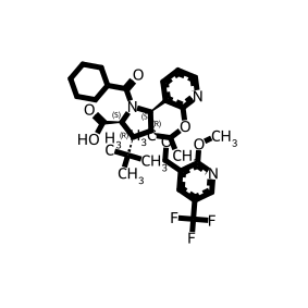 COc1ncc(C(F)(F)F)cc1CO[C@@H]1[C@H](C(C)(C)C)[C@@H](C(=O)O)N(C(=O)C2CCCCC2)[C@H]1c1cccnc1OC(C)C